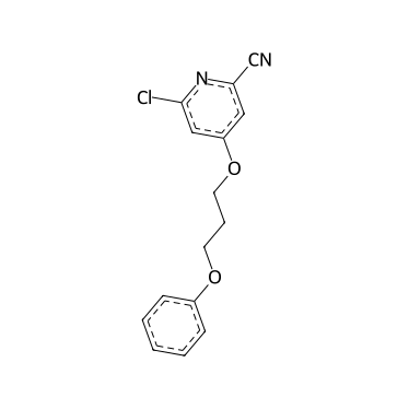 N#Cc1cc(OCCCOc2ccccc2)cc(Cl)n1